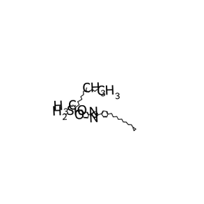 CCCCCC(C)CCCCCCC(C)[SiH2]C1Oc2ccc(-c3ncc(-c4ccc(CCCCCCCCCC5CC5)cc4)cn3)cc2O1